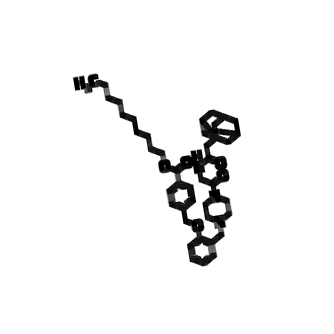 CCCCCCCCCCOC(=O)c1ccc(COc2ccccc2CN2CCN(C(=O)CNC(=O)CC34CC5CC(CC(C5)C3)C4)CC2)cc1